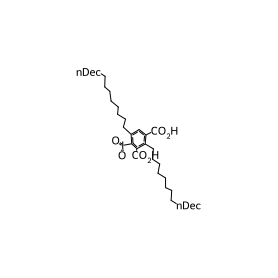 CCCCCCCCCCCCCCCCCCc1cc(C(=O)O)c(CCCCCCCCCCCCCCCCCC)c(C(=O)O)c1I(=O)=O